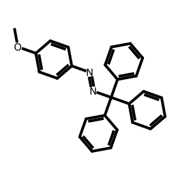 COc1ccc(/N=N/C(c2ccccc2)(c2ccccc2)c2ccccc2)cc1